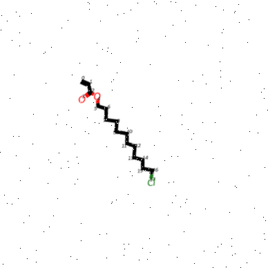 C=CC(=O)OCCCCCCCCCCCCCl